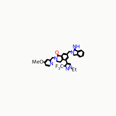 CCn1cc(-c2cc(CN3Cc4ccccc4C3=N)cc3c2CCN(Cc2cc(OC)ccn2)C3=O)c(C(F)(F)F)n1